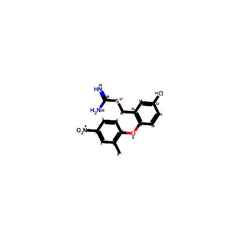 [CH2]c1cc([N+](=O)[O-])ccc1Oc1ccc(Cl)cc1CSC(=N)N